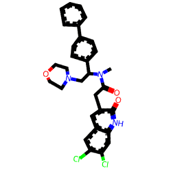 CN(C(=O)Cc1cc2cc(Cl)c(Cl)cc2[nH]c1=O)C(CN1CCOCC1)c1ccc(-c2ccccc2)cc1